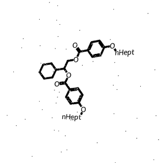 CCCCCCCOc1ccc(C(=O)OCC(OC(=O)c2ccc(OCCCCCCC)cc2)C2CCCCC2)cc1